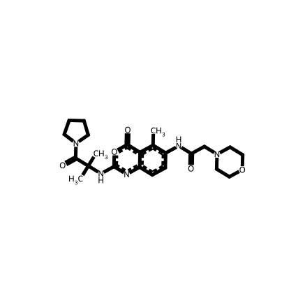 Cc1c(NC(=O)CN2CCOCC2)ccc2nc(NC(C)(C)C(=O)N3CCCC3)oc(=O)c12